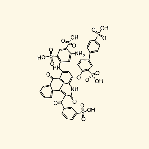 Nc1cc(Nc2cc(Oc3ccc(-c4ccc(S(=O)(=O)O)cc4)cc3S(=O)(=O)O)c3[nH]c(=O)c(C(=O)c4cccc(S(=O)(=O)O)c4)c4c3c2C(=O)c2ccccc2-4)c(S(=O)(=O)O)cc1S(=O)(=O)O